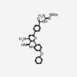 CN/N=C(\N)NC(=O)c1ccc(-c2cc(N)c(C(=N)N)c(-c3ccc(Oc4ccccc4)cc3)n2)cc1